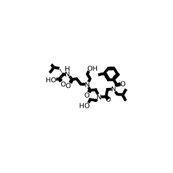 Cc1cccc(C(=O)N(CC(=O)N(CCO)CC(=O)N(CCO)CCC(=O)N[C@@H](CC(C)C)C(=O)O)CC(C)C)c1